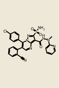 CN(NC(=O)c1c(S(N)(=O)=O)nn2c(-c3ccc(Cl)cc3)c(-c3ccccc3C#N)cnc12)c1ccccn1